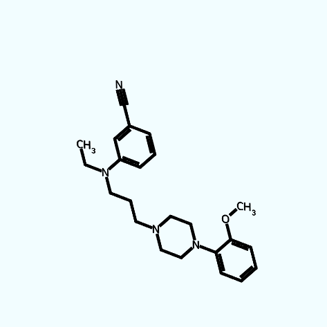 CCN(CCCN1CCN(c2ccccc2OC)CC1)c1cccc(C#N)c1